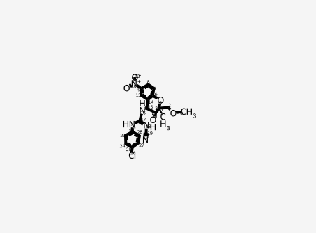 COC[C@@]1(C)Oc2ccc([N+](=O)[O-])cc2[C@@H](NC(=NC#N)Nc2ccc(Cl)cc2)[C@@H]1O